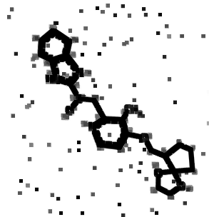 Cc1c(OCC2CCCC23OCCO3)ccnc1C[S+]([O-])c1nc2ccccc2[nH]1